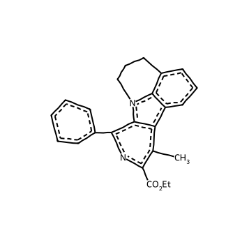 CCOC(=O)c1nc(-c2ccccc2)c2c(c1C)c1cccc3c1n2CCC3